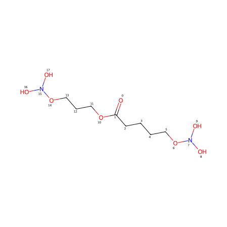 O=C(CCCCON(O)O)OCCCON(O)O